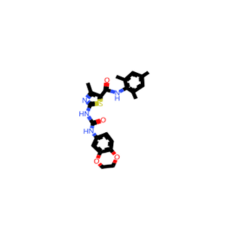 Cc1cc(C)c(NC(=O)c2sc(NC(=O)Nc3ccc4c(c3)OCCO4)nc2C)c(C)c1